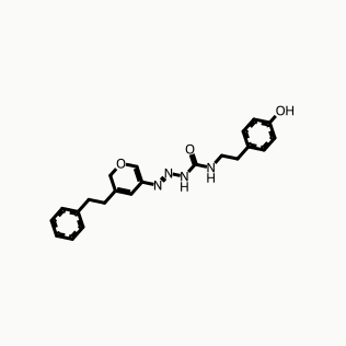 O=C(NCCc1ccc(O)cc1)NN=NC1=COCC(CCc2ccccc2)=C1